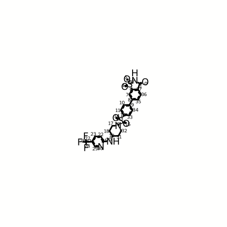 O=C1NS(=O)(=O)c2cc(-c3ccc(S(=O)(=O)N4CCC(Nc5ccc(C(F)(F)F)cn5)CC4)cc3)ccc21